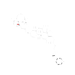 C[C@H](CCCOC(=O)c1cccnc1)[C@H]1CC[C@H]2[C@@H]3[C@H](O)C[C@@H]4C[C@H](OC5O[C@H]6[C@@H]7O[C@@H](C)CC[C@H]8[C@H](C)CC[C@@H]([C@H]5C)[C@@]867)CC[C@]4(C)[C@H]3C[C@H](O)[C@]12C